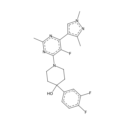 Cc1nc(-c2cn(C)nc2C)c(F)c(N2CCC(O)(c3ccc(F)c(F)c3)CC2)n1